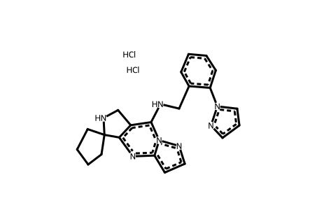 Cl.Cl.c1ccc(-n2cccn2)c(CNc2c3c(nc4ccnn24)C2(CCCC2)NC3)c1